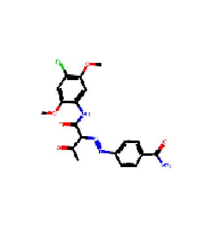 COc1cc(NC(=O)C(N=Nc2ccc(C(N)=O)cc2)C(C)=O)c(OC)cc1Cl